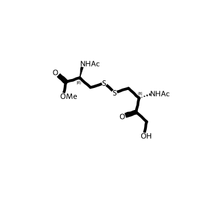 COC(=O)[C@H](CSSC[C@H](NC(C)=O)C(=O)CO)NC(C)=O